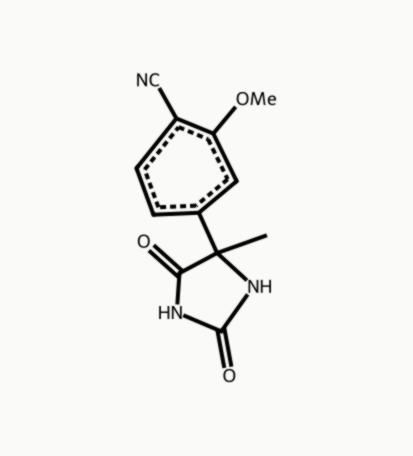 COc1cc(C2(C)NC(=O)NC2=O)ccc1C#N